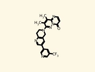 Cc1c(N2CCc3ncc(-c4cncc(C(F)(F)F)c4)cc3C2)nn2c(=O)ccnc2c1C